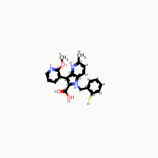 COc1ncccc1-c1c(C(=O)O)n(Cc2ccccc2F)c2ccc(C)nc12